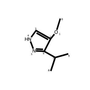 COc1c[nH]nc1C(C)C